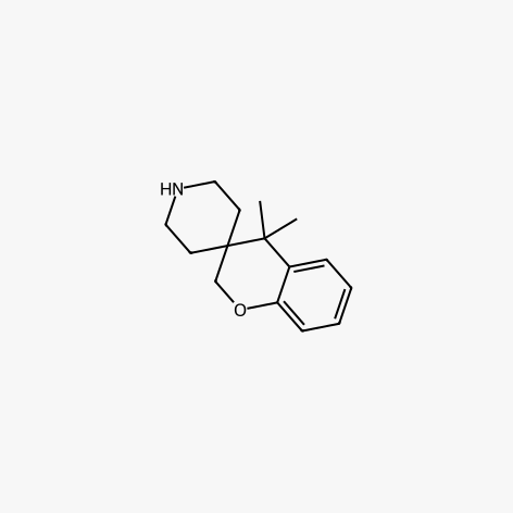 CC1(C)c2ccccc2OCC12CCNCC2